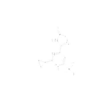 O=c1[nH]c(C2=NC(C3CC3)NC(C(F)(F)F)=C2)no1